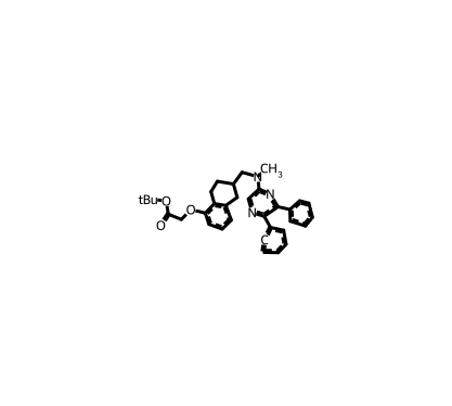 CN(CC1CCc2c(cccc2OCC(=O)OC(C)(C)C)C1)c1cnc(-c2ccccc2)c(-c2ccccc2)n1